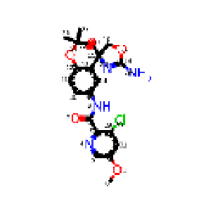 COc1cnc(C(=O)Nc2ccc3c(c2)C2(COC(N)=N2)C2(COC2)C(C)(C)O3)c(Cl)c1